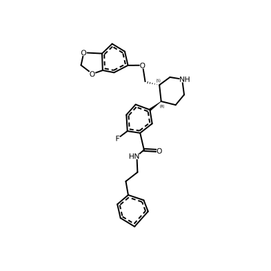 O=C(NCCc1ccccc1)c1cc([C@@H]2CCNC[C@H]2COc2ccc3c(c2)OCO3)ccc1F